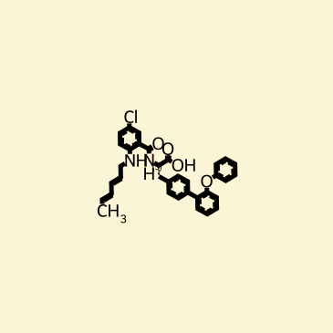 CC=CC=CCNc1ccc(Cl)cc1C(=O)N[C@@H](Cc1ccc(-c2ccccc2Oc2ccccc2)cc1)C(=O)O